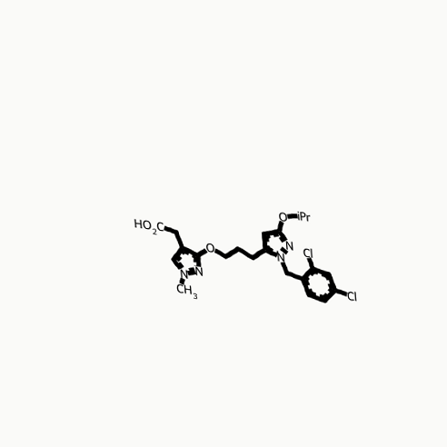 CC(C)Oc1cc(CCCOc2nn(C)cc2CC(=O)O)n(Cc2ccc(Cl)cc2Cl)n1